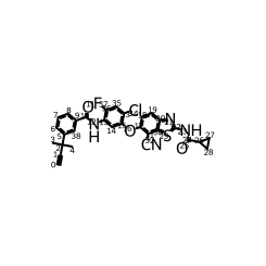 C#CC(C)(C)c1cccc(C(=O)Nc2cc(Oc3ccc4nc(NC(=O)C5CC5)sc4c3C#N)c(Cl)cc2F)c1